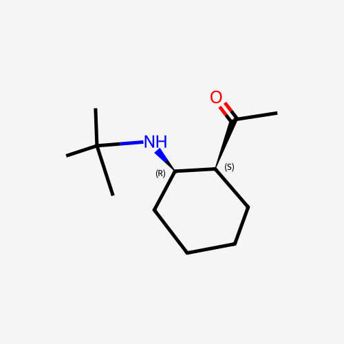 CC(=O)[C@H]1CCCC[C@H]1NC(C)(C)C